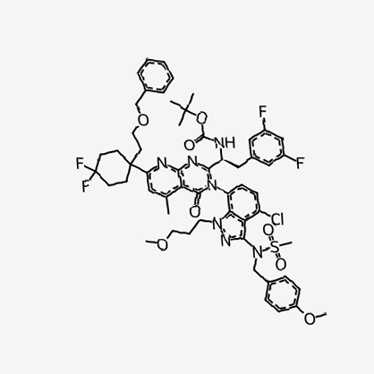 COCCCn1nc(N(Cc2ccc(OC)cc2)S(C)(=O)=O)c2c(Cl)ccc(-n3c([C@H](Cc4cc(F)cc(F)c4)NC(=O)OC(C)(C)C)nc4nc(C5(CCOCc6ccccc6)CCC(F)(F)CC5)cc(C)c4c3=O)c21